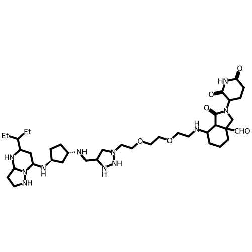 CCC(CC)C1CC(N[C@H]2CC[C@H](NCC3CN(CCOCCOCCNC4CCCC5(C=O)CN(C6CCC(=O)NC6=O)C(=O)C45)NN3)C2)N2NCCC2N1